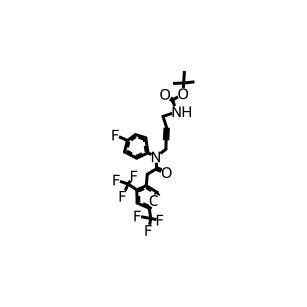 CC(C)(C)OC(=O)NCC#CCN(C(=O)Cc1ccc(C(F)(F)F)cc1C(F)(F)F)c1ccc(F)cc1